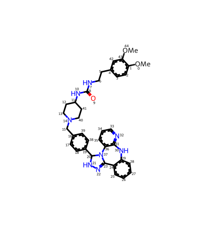 COc1ccc(CCNC(=O)NC2CCN(Cc3ccc(C4NN=C5c6ccccc6Nc6ncccc6N54)cc3)CC2)cc1OC